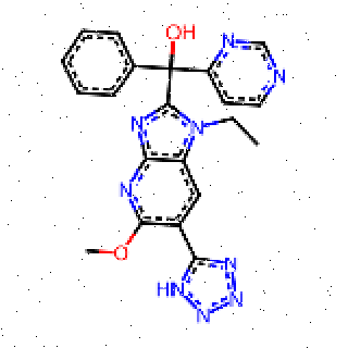 CCn1c(C(O)(c2ccccc2)c2ccncn2)nc2nc(OC)c(-c3nnn[nH]3)cc21